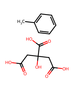 Cc1ccccc1.O=C(O)CC(O)(CC(=O)O)C(=O)O